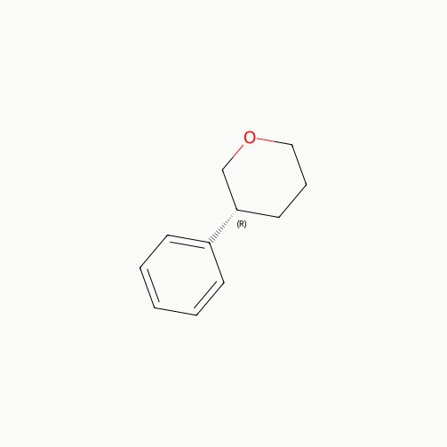 c1ccc([C@H]2CCCOC2)cc1